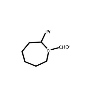 CC(C)C1CCCCCN1[C]=O